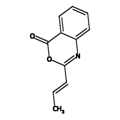 CC=Cc1nc2ccccc2c(=O)o1